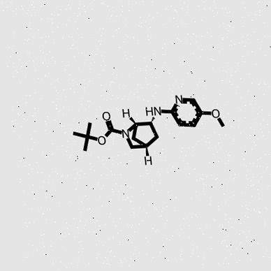 COc1ccc(N[C@@H]2C[C@H]3C[C@@H]2N(C(=O)OC(C)(C)C)C3)nc1